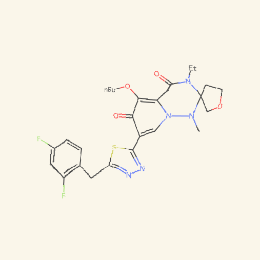 CCCCOc1c2n(cc(-c3nnc(Cc4ccc(F)cc4F)s3)c1=O)N(C)C1(CCOC1)N(CC)C2=O